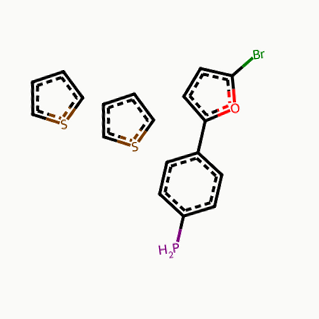 Pc1ccc(-c2ccc(Br)o2)cc1.c1ccsc1.c1ccsc1